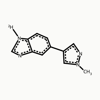 [2H]n1cnc2cc(-c3cnn(C)c3)ccc21